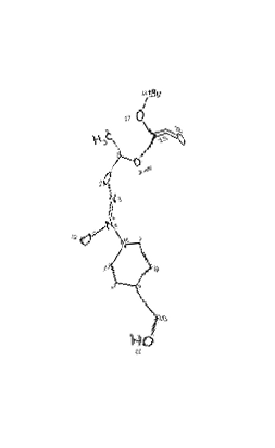 CC(ON=[N+]([O-])N1CCC(CO)CC1)OC(=O)OC(C)(C)C